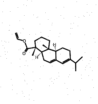 C=COC(=O)[C@]1(C)CCC[C@@]2(C)[C@H]1CC=C1C=C(C(C)C)CC[C@@H]12